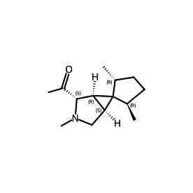 CC(=O)[C@@H]1[C@@H]2[C@H](CN1C)C21[C@H](C)CC[C@H]1C